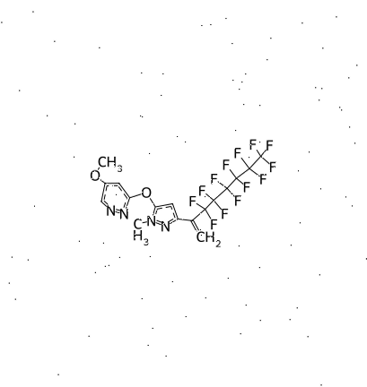 C=C(c1cc(Oc2cc(OC)cnn2)n(C)n1)C(F)(F)C(F)(F)C(F)(F)C(F)(F)C(F)(F)C(F)(F)F